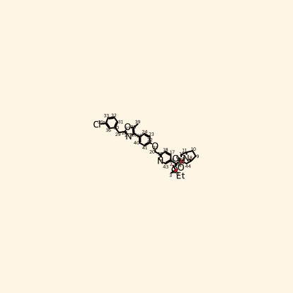 CCC(C)(C)OC(=O)N1C2CCC1CN(C(=O)c1ccc(COc3ccc(-c4nc(Cc5cccc(Cl)c5)oc4C)cc3)nc1)C2